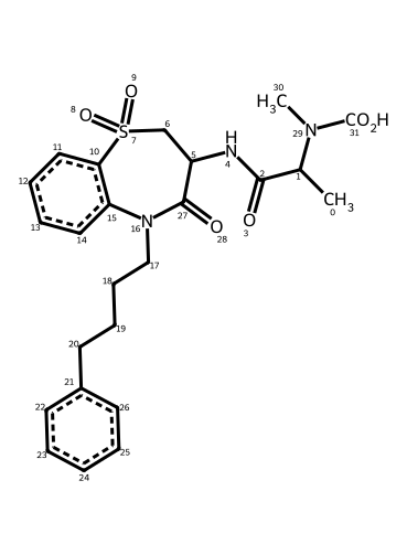 CC(C(=O)NC1CS(=O)(=O)c2ccccc2N(CCCCc2ccccc2)C1=O)N(C)C(=O)O